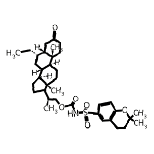 CC[C@H]1C[C@@H]2[C@H](CC[C@]3(C)C([C@H](C)COC(=O)NS(=O)(=O)c4ccc5c(c4)CCC(C)(C)O5)CC[C@@H]23)[C@@]2(C)CCC(=O)C[C@@H]12